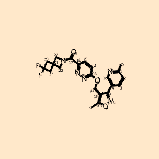 Cc1ccc(-c2noc(C)c2COc2ccc(C(=O)N3CC4(C3)CC(F)(F)C4)nn2)cn1